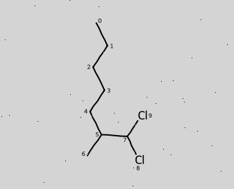 CCCCCC(C)C(Cl)Cl